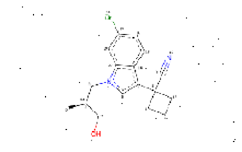 C[C@H](CO)Cn1cc(C2(C#N)CCC2)c2ccc(Br)cc21